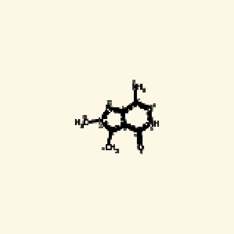 Cc1c2c(=O)[nH]nc(N)c2nn1C